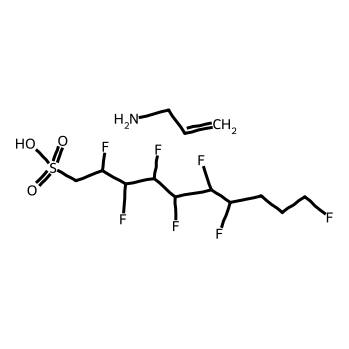 C=CCN.O=S(=O)(O)CC(F)C(F)C(F)C(F)C(F)C(F)CCCF